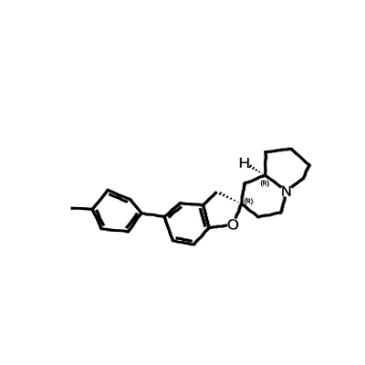 Cc1ccc(-c2ccc3c(c2)C[C@]2(CCN4CCCC[C@@H]4C2)O3)cc1